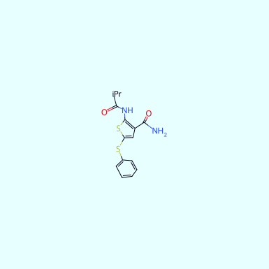 CC(C)C(=O)Nc1sc(Sc2ccccc2)cc1C(N)=O